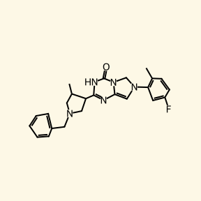 Cc1ccc(F)cc1N1C=C2N=C(C3CN(Cc4ccccc4)CC3C)NC(=O)N2C1